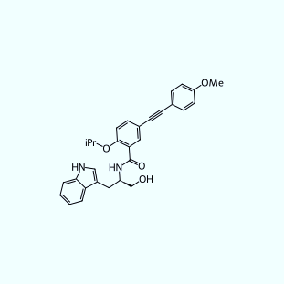 COc1ccc(C#Cc2ccc(OC(C)C)c(C(=O)N[C@@H](CO)Cc3c[nH]c4ccccc34)c2)cc1